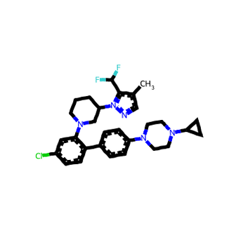 Cc1cnn(C2CCCN(c3cc(Cl)ccc3-c3ccc(N4CCN(C5CC5)CC4)cc3)C2)c1C(F)F